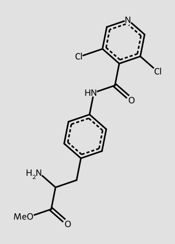 COC(=O)C(N)Cc1ccc(NC(=O)c2c(Cl)cncc2Cl)cc1